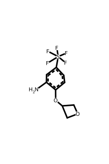 Nc1cc(S(F)(F)(F)(F)F)ccc1OC1COC1